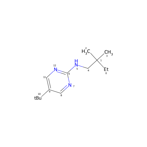 CCC(C)(C)CNc1ncc(C(C)(C)C)cn1